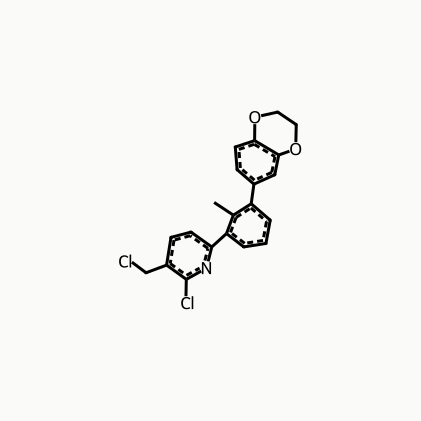 Cc1c(-c2ccc3c(c2)OCCO3)cccc1-c1ccc(CCl)c(Cl)n1